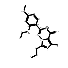 CCCc1nc(C)c2c(=O)[nH]c(-c3ccc(OC)cc3OCC)nn12